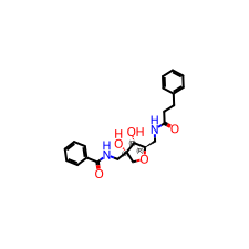 O=C(CCc1ccccc1)NC[C@H]1OC[C@@](O)(CNC(=O)c2ccccc2)[C@@H]1O